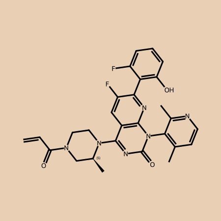 C=CC(=O)N1CCN(c2nc(=O)n(-c3c(C)ccnc3C)c3nc(-c4c(O)cccc4F)c(F)cc23)[C@@H](C)C1